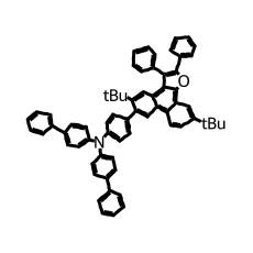 CC(C)(C)c1ccc2c3cc(-c4ccc(N(c5ccc(-c6ccccc6)cc5)c5ccc(-c6ccccc6)cc5)cc4)c(C(C)(C)C)cc3c3c(-c4ccccc4)c(-c4ccccc4)oc3c2c1